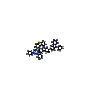 c1ccc(-c2nc(-c3ccccc3)nc(-c3ccc4sc5cccc(-n6c7ccccc7c7ccc(-c8ccc9c(c8)c8ccccc8n9-c8ccccc8)cc76)c5c4c3)n2)cc1